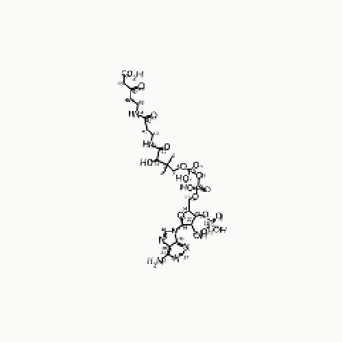 CC(C)(COP(=O)(O)OP(=O)(O)OCC1OC(n2cnc3c(N)ncnc32)C(O)C1OP(=O)(O)O)C(O)C(=O)NCCC(=O)NCCC(=O)CC(=O)O